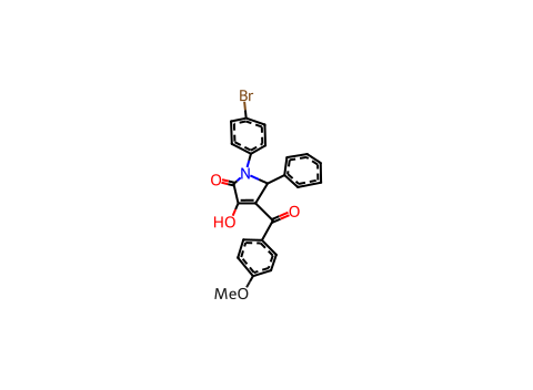 COc1ccc(C(=O)C2=C(O)C(=O)N(c3ccc(Br)cc3)C2c2ccccc2)cc1